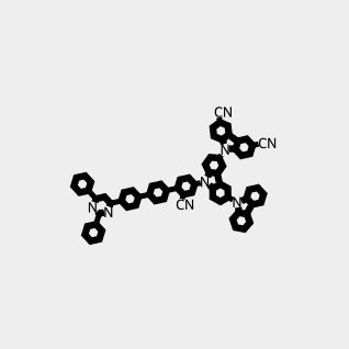 N#Cc1ccc2c(c1)c1cc(C#N)ccc1n2-c1ccc2c(c1)c1cc(-n3c4ccccc4c4ccccc43)ccc1n2-c1ccc(-c2ccc(-c3ccc(-c4cc(-c5ccccc5)nc(-c5ccccc5)n4)cc3)cc2)c(C#N)c1